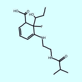 CCC(O)C1(F)C(NCCNC(=O)C(C)C)=CC=CC1C(=O)O